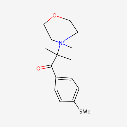 CSc1ccc(C(=O)C(C)(C)[N+]2(C)CCOCC2)cc1